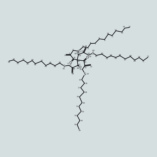 C=C(CSCCCCCCCCCCCC)C(=O)C(C(=O)C(=C)CSCCCCCCCCCCCC)(C(=O)C(=C)CSCCCCCCCCCCCC)C(=O)C(=C)CSCCCCCCCCCCCC